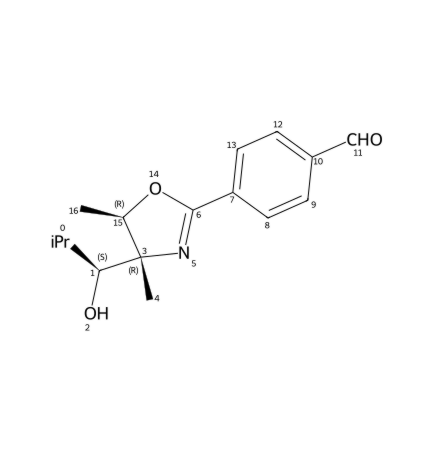 CC(C)[C@H](O)[C@@]1(C)N=C(c2ccc(C=O)cc2)O[C@@H]1C